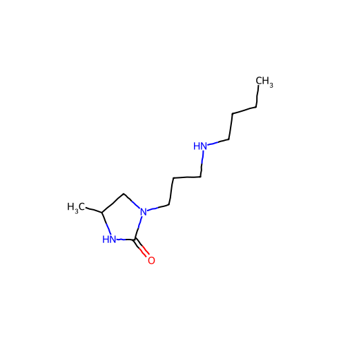 CCCCNCCCN1CC(C)NC1=O